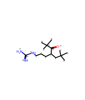 CC(C)(C)CC(CCCNC(=N)N)C(=O)C(C)(C)C